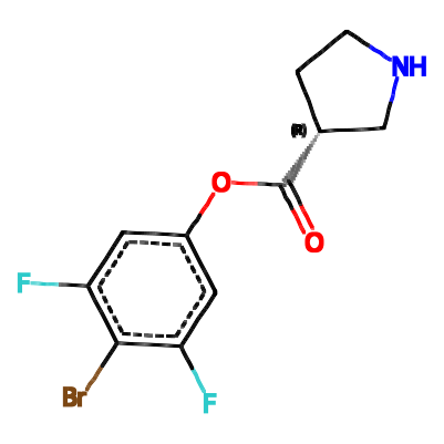 O=C(Oc1cc(F)c(Br)c(F)c1)[C@@H]1CCNC1